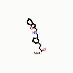 COC(=O)CCc1cccc(CNCc2cc3ccccc3o2)c1